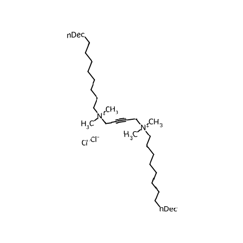 CCCCCCCCCCCCCCCCCC[N+](C)(C)CC#CC[N+](C)(C)CCCCCCCCCCCCCCCCCC.[Cl-].[Cl-]